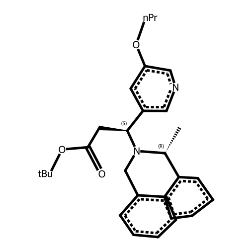 CCCOc1cncc([C@H](CC(=O)OC(C)(C)C)N(Cc2ccccc2)[C@H](C)c2ccccc2)c1